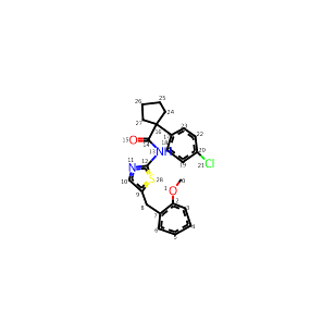 COc1ccccc1Cc1cnc(NC(=O)C2(c3ccc(Cl)cc3)CCCC2)s1